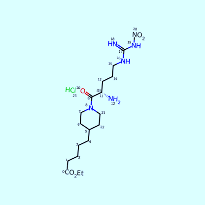 CCOC(=O)CCCCC1CCN(C(=O)[C@@H](N)CCCNC(=N)N[N+](=O)[O-])CC1.Cl